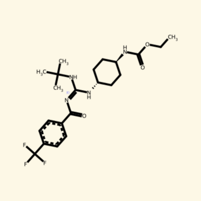 CCOC(=O)N[C@H]1CC[C@H](N/C(=N\C(=O)c2ccc(C(F)(F)F)cc2)NC(C)(C)C)CC1